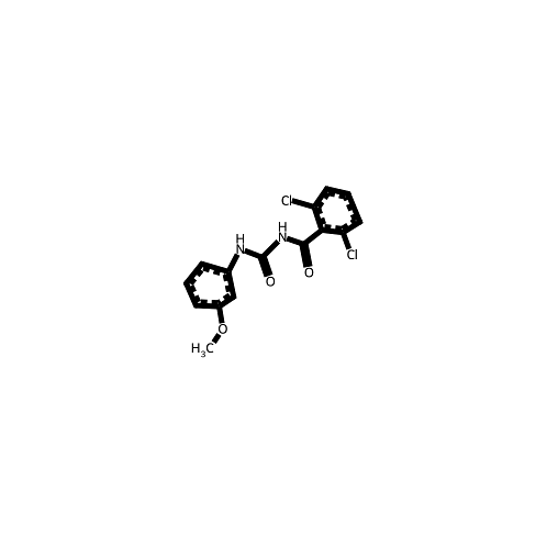 COc1cccc(NC(=O)NC(=O)c2c(Cl)cccc2Cl)c1